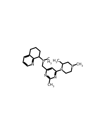 Cc1nc(CN(C)C2CCCc3cccnc32)cc(N2CCN(C)CC2C)n1